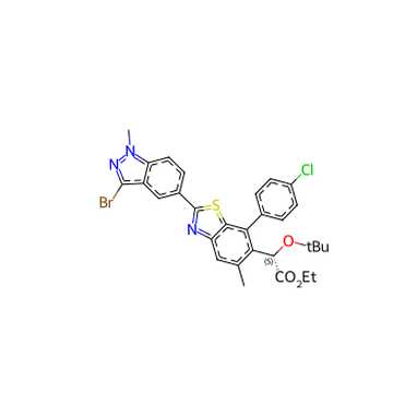 CCOC(=O)[C@@H](OC(C)(C)C)c1c(C)cc2nc(-c3ccc4c(c3)c(Br)nn4C)sc2c1-c1ccc(Cl)cc1